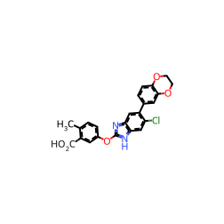 Cc1ccc(Oc2nc3cc(-c4ccc5c(c4)OCCO5)c(Cl)cc3[nH]2)cc1C(=O)O